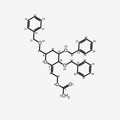 CC(=O)OC/C=C1/OC(COCc2ccccc2)CC(OCc2ccccc2)C1OCc1ccccc1